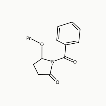 CC(C)OC1CCC(=O)N1C(=O)c1ccccc1